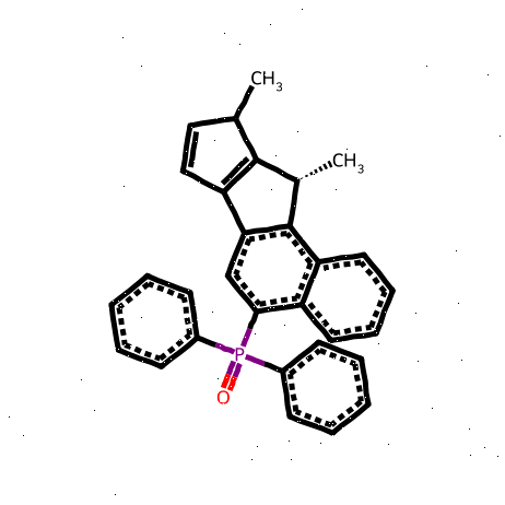 CC1C=CC2=C1[C@H](C)c1c2cc(P(=O)(c2ccccc2)c2ccccc2)c2ccccc12